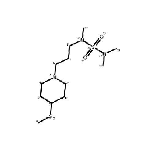 CSC1CCN(CCCN(C)S(=O)(=O)N(C)C)CC1